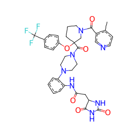 Cc1ccncc1C(=O)N1CCCC(Oc2ccc(C(F)(F)F)cc2)(C(=O)N2CCN(c3ccccc3NC(=O)CC3NC(=O)NC3=O)CC2)C1